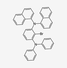 Brc1c(N(c2ccccc2)c2ccccc2)cccc1N(c1cccc2ccccc12)c1cccc2ccccc12